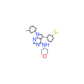 CSc1cccc(-c2cn(-c3cccc(C)c3)c3ncnc(NC4CCOCC4)c23)c1